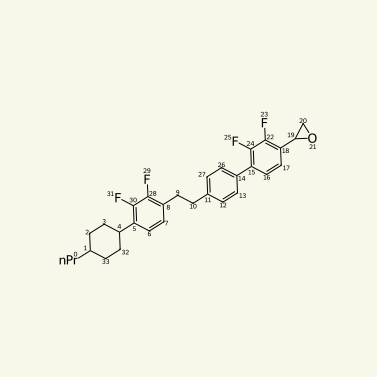 CCCC1CCC(c2ccc(CCc3ccc(-c4ccc(C5CO5)c(F)c4F)cc3)c(F)c2F)CC1